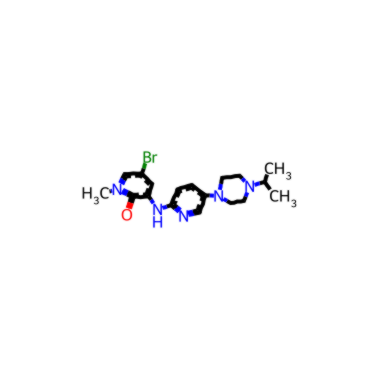 CC(C)N1CCN(c2ccc(Nc3cc(Br)cn(C)c3=O)nc2)CC1